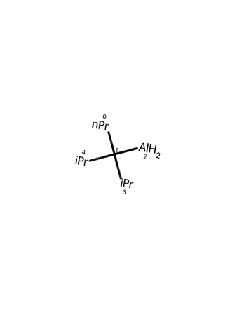 CCC[C]([AlH2])(C(C)C)C(C)C